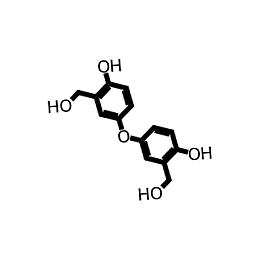 OCc1cc(Oc2ccc(O)c(CO)c2)ccc1O